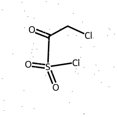 O=C(CCl)S(=O)(=O)Cl